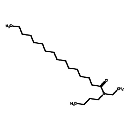 [CH2]CN(CCCC)C(=O)CCCCCCCCCCCCCCC